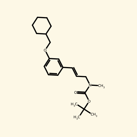 CN(C/C=C/c1cccc(OCC2CCCCC2)c1)C(=O)OC(C)(C)C